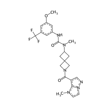 COc1cc(NC(=O)N(C)C2CC3(C2)CN(C(=O)c2cnn4ccn(C)c24)C3)cc(C(F)(F)F)c1